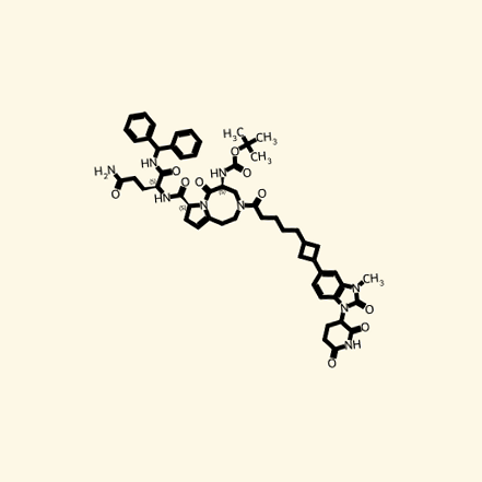 Cn1c(=O)n(C2CCC(=O)NC2=O)c2ccc(C3CC(CCCCC(=O)N4CCC5=CC[C@@H](C(=O)N[C@@H](CCC(N)=O)C(=O)NC(c6ccccc6)c6ccccc6)N5C(=O)[C@@H](NC(=O)OC(C)(C)C)C4)C3)cc21